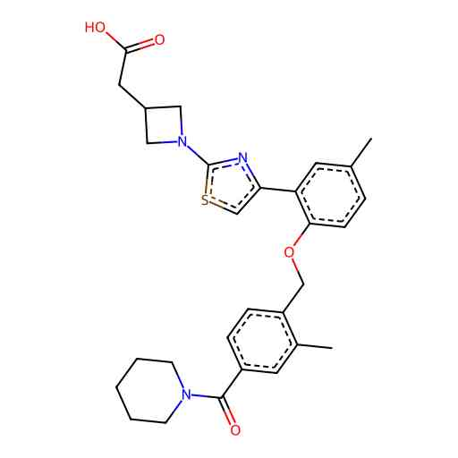 Cc1ccc(OCc2ccc(C(=O)N3CCCCC3)cc2C)c(-c2csc(N3CC(CC(=O)O)C3)n2)c1